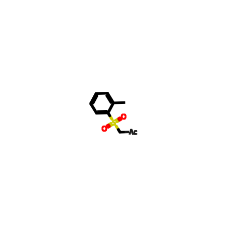 CC(=O)CS(=O)(=O)c1ccccc1C